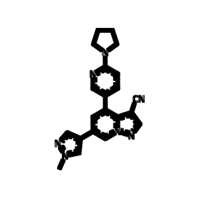 Cn1cc(-c2cc(-c3ccc(N4CCCC4)nc3)c3c(C#N)cnn3c2)cn1